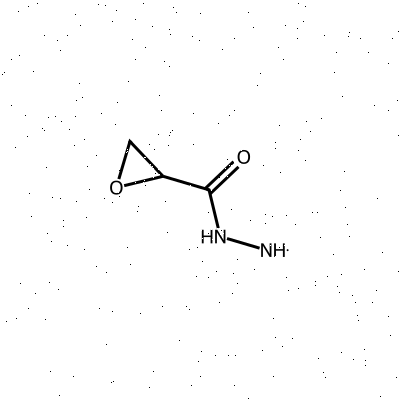 [NH]NC(=O)C1CO1